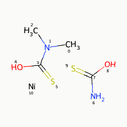 CN(C)C(O)=S.NC(O)=S.[Ni]